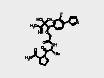 CC(=N)C(C)(O)N(OCC(=O)N[C@H](C(=O)N1CCC[C@H]1C(N)=O)C(C)(C)C)c1ccc(-n2ccnc2)c(F)c1